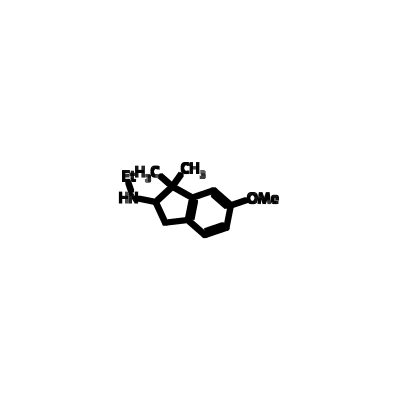 CCNC1Cc2ccc(OC)cc2C1(C)C